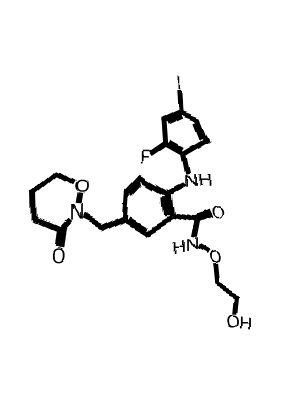 O=C(NOCCO)c1cc(CN2OCCCC2=O)ccc1Nc1ccc(I)cc1F